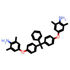 Cc1cc(Oc2ccc(C(C)(c3ccccc3)c3ccc(Oc4cc(C)c(N)c(C)c4)cc3)cc2)cc(C)c1N